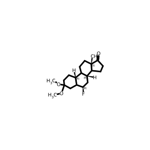 COC1(OC)CC[C@@H]2C3CC[C@]4(C)C(=O)CCC4[C@@H]3C[C@@H](F)C2C1